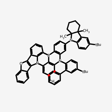 Cc1cc2c3c(c1)-n1c4c(cccc4c4oc5ccccc5c41)B3c1ccc(N3c4ccc(C(C)(C)C)cc4C4(C)CCCCC34C)cc1N2c1ccc(C(C)(C)C)cc1-c1ccccc1